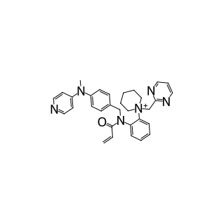 C=CC(=O)N(Cc1ccc(N(C)c2ccncc2)cc1)c1ccccc1[N+]1(Cc2ncccn2)CCCCC1